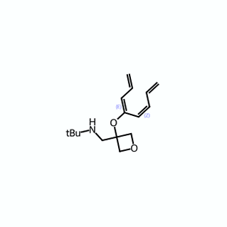 C=C/C=C\C(=C/C=C)OC1(CNC(C)(C)C)COC1